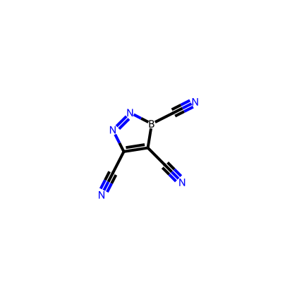 N#CB1N=NC(C#N)=C1C#N